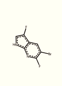 Fc1nc2[nH]cc(F)c2cc1Br